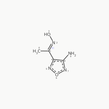 C/C(=N\O)c1nonc1N